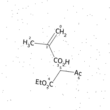 C=C(C)C(=O)O.CCOC(=O)CC(C)=O